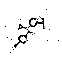 Bc1cnn2ccc(N(C(=O)c3ccc(C#N)cn3)C3CC3)cc12